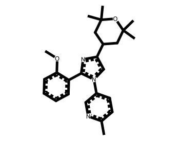 COc1ccccc1-c1nc(C2CC(C)(C)OC(C)(C)C2)cn1-c1ccc(C)nc1